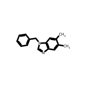 Cc1cc2ncn(Cc3[c]cccc3)c2cc1C